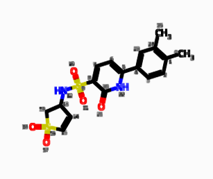 Cc1ccc(-c2ccc(S(=O)(=O)NC3C=CS(=O)(=O)C3)c(=O)[nH]2)cc1C